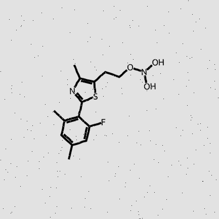 Cc1cc(C)c(-c2nc(C)c(CCON(O)O)s2)c(F)c1